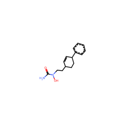 NC(=O)N(O)CCC1C=CC(c2ccccc2)CC1